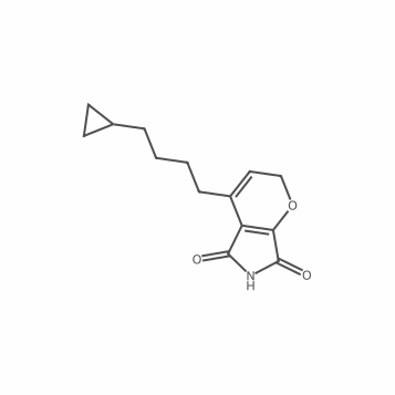 O=C1NC(=O)C2=C1OCC=C2CCCCC1CC1